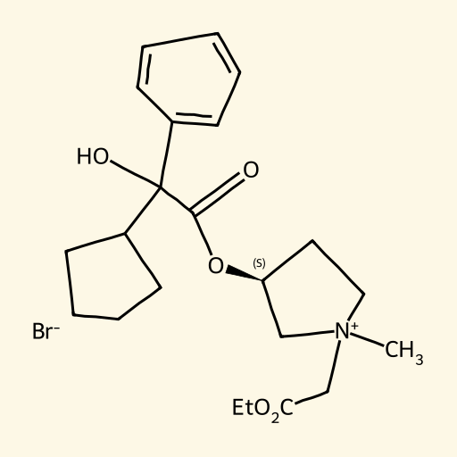 CCOC(=O)C[N+]1(C)CC[C@H](OC(=O)C(O)(c2ccccc2)C2CCCC2)C1.[Br-]